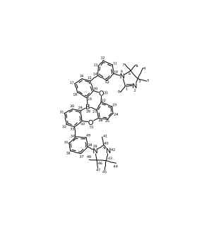 CC1=NC(C)(C)C(C)(C)N1c1cccc(-c2cccc3c2Oc2cccc4c2B3c2cccc(-c3cccc(N5C(C)=NC(C)(C)C5(C)C)c3)c2O4)c1